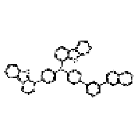 c1cc(-c2ccc(N(c3ccc(-c4cccc5c4oc4ccccc45)cc3)c3cccc4c3oc3ccccc34)cc2)cc(-c2ccc3ccccc3c2)c1